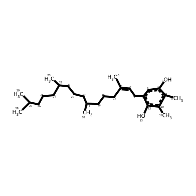 CC(=CCc1cc(O)c(C)c(C)c1O)CCCC(C)CCCC(C)CCCC(C)C